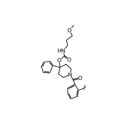 COCCCNC(=O)OC1(c2ccccc2)CCN(C(=O)c2ccccc2F)CC1